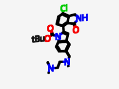 CN(C)CCN(C)Cc1ccc2c(c1)cc(-c1ccc(Cl)c3c1C(=O)NC3)n2C(=O)OC(C)(C)C